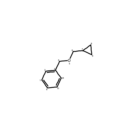 c1ccc(COC[C]2CC2)cc1